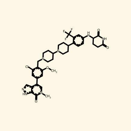 COc1cc(-c2cn(C)c(=O)c3[nH]ncc23)cc(Cl)c1CN1CCC(N2CCC(c3ccc(NC4CCC(=O)NC4=O)cc3C(F)(F)F)CC2)CC1